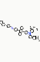 Cc1cccc(N(c2ccc(-c3c4ccccc4c(-c4ccc(/C=C/c5ccc(-c6ccc7ccccc7c6)cc5)cc4)c4ccccc34)cc2)c2cccc(C)c2)c1